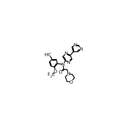 [CH]c1ccc(OC(F)(F)F)c(N(C(=O)CN2CCOCC2)c2cnc(-c3cncnc3)cn2)c1